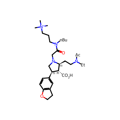 CCCCN(CCC[N+](C)(C)C)C(=O)CN1C[C@H](c2ccc3c(c2)CCO3)[C@@H](C(=O)O)[C@@H]1CCN(CC)C(C)=O